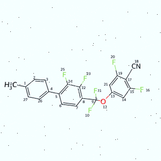 Cc1ccc(-c2ccc(C(F)(F)Oc3cc(F)c(C#N)c(F)c3)c(F)c2F)cc1